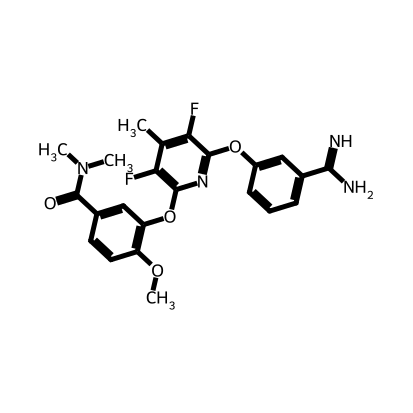 COc1ccc(C(=O)N(C)C)cc1Oc1nc(Oc2cccc(C(=N)N)c2)c(F)c(C)c1F